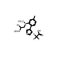 CCCCCC(CC)CN(C(=O)O)c1cc(C)ccc1-c1ccsc1.O=C(O)C(F)(F)F